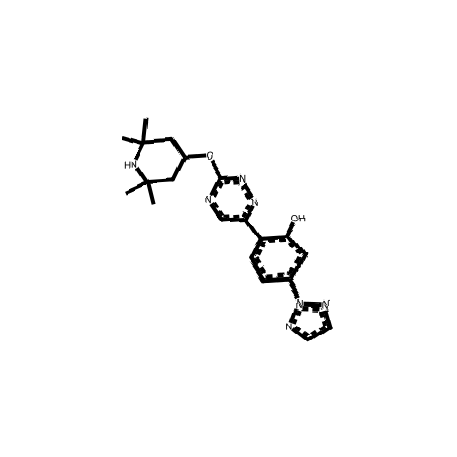 CC1(C)CC(Oc2ncc(-c3ccc(-n4nccn4)cc3O)nn2)CC(C)(C)N1